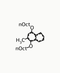 CCCCCCCCOc1cc(C)c(OCCCCCCCC)c2ccccc12